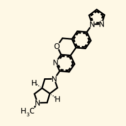 CN1C[C@@H]2CN(c3ccc4c(n3)OCc3cc(-n5cccn5)ccc3-4)C[C@@H]2C1